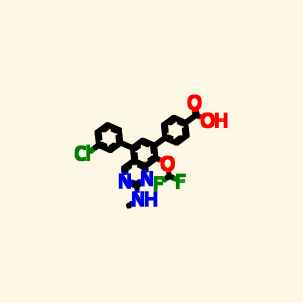 CNc1ncc2c(-c3cccc(Cl)c3)cc(-c3ccc(C(=O)O)cc3)c(OC(F)F)c2n1